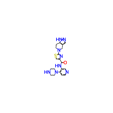 O=C(Nc1cnccc1N1CCNCC1)c1csc(N2CCc3[nH]ncc3C2)n1